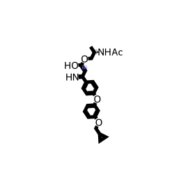 CC(=O)N[C@@H](C)CO/C(O)=C/C(=N)c1ccc(Oc2cccc(OCC3CC3)c2)cc1